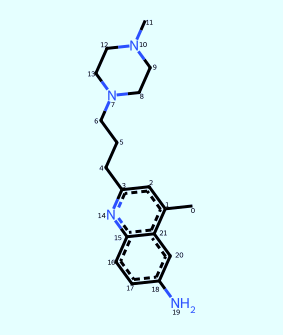 Cc1cc(CCCN2CCN(C)CC2)nc2ccc(N)cc12